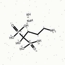 NCCCC(O)(P(=O)(O)O)P(=O)(O)O.[KH].[NaH]